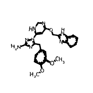 COc1ccc(Cc2nc(N)nn2C2=CC(OCc3nc4ccccc4[nH]3)=NCN2)cc1OC